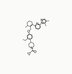 CCc1cc(OCC2=C(c3cccc(-n4ncc(C)c4C)n3)CCCC2C)ccc1C1CCN(C(=O)C2CC2)CC1